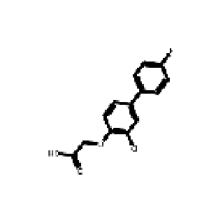 O=C(O)COc1ccc(-c2ccc(F)cc2)cc1Cl